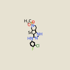 CS(=O)(=O)N1CCC2=C3NC=NC(Nc4ccc(F)c(Cl)c4)=C3[Se]C2C1